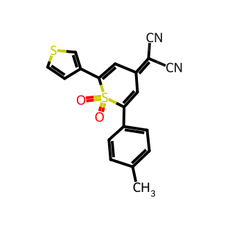 Cc1ccc(C2=CC(=C(C#N)C#N)C=C(c3ccsc3)S2(=O)=O)cc1